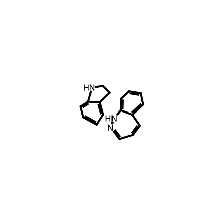 C1=Cc2ccccc2NN=C1.c1ccc2c(c1)CCN2